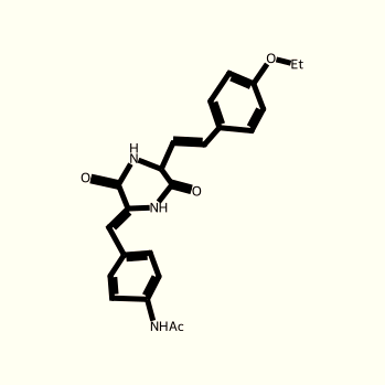 CCOc1ccc(C=CC2NC(=O)C(=Cc3ccc(NC(C)=O)cc3)NC2=O)cc1